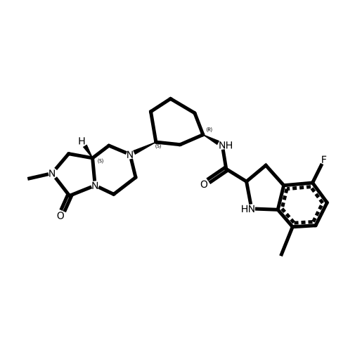 Cc1ccc(F)c2c1NC(C(=O)N[C@@H]1CCC[C@H](N3CCN4C(=O)N(C)C[C@@H]4C3)C1)C2